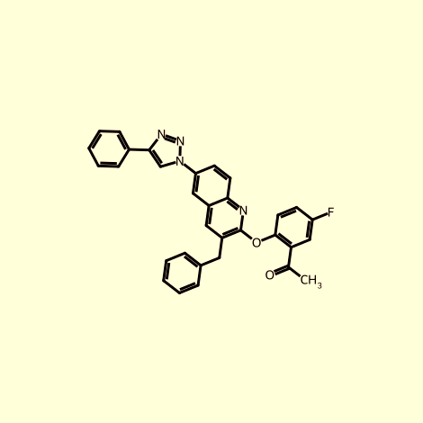 CC(=O)c1cc(F)ccc1Oc1nc2ccc(-n3cc(-c4ccccc4)nn3)cc2cc1Cc1ccccc1